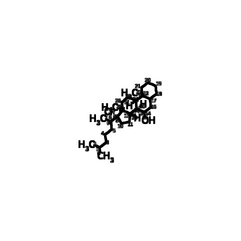 CC(C)CCC[C@@H](C)[C@]1(Cl)CC[C@H]2[C@@H]3[C@H](O)CC4CCCC[C@]4(C)[C@H]3CC[C@@]21C